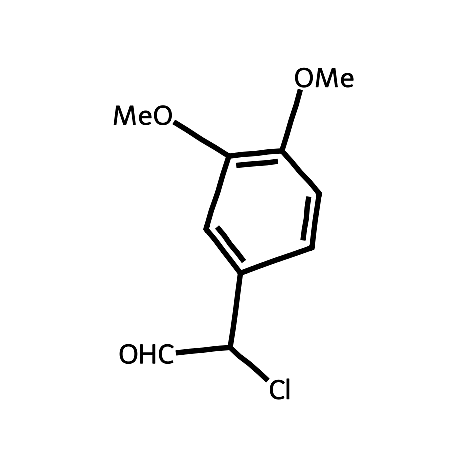 COc1ccc(C(Cl)C=O)cc1OC